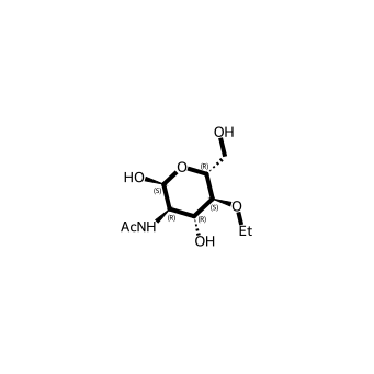 CCO[C@H]1[C@H](O)[C@@H](NC(C)=O)[C@@H](O)O[C@@H]1CO